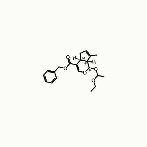 CCOC(C)O[C@H]1OC=C(C(=O)OCc2ccccc2)[C@H]2CC=C(C)[C@H]12